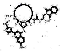 COc1ccc2c(O[C@@H]3C[C@H]4C(=O)N[C@H](C(=O)O)CC/C=C\CCCCC[C@H](NC(=O)O[C@H](CN5C(=O)c6ccccc6C5=O)C(C)(C)C)C(=O)N4C3)cc(-c3csc(NC(C)C)n3)nc2c1